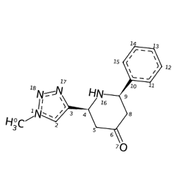 Cn1cc([C@@H]2CC(=O)C[C@H](c3ccccc3)N2)nn1